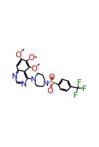 COc1cc2ncnc(N3CCN(S(=O)(=O)c4ccc(C(F)(F)F)cc4)CC3)c2c(OC)c1OC